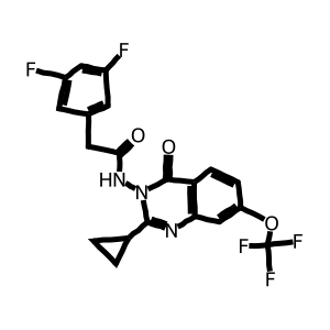 O=C(Cc1cc(F)cc(F)c1)Nn1c(C2CC2)nc2cc(OC(F)(F)F)ccc2c1=O